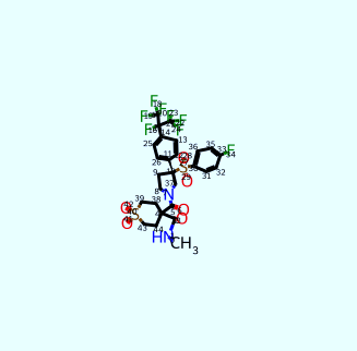 CNC(=O)C1(C(=O)N2CC[C@](c3ccc(C(F)(C(F)(F)F)C(F)(F)F)cc3)(S(=O)(=O)c3ccc(F)cc3)C2)CCS(=O)(=O)CC1